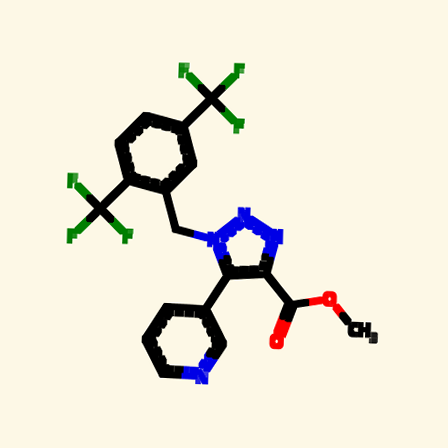 COC(=O)c1nnn(Cc2cc(C(F)(F)F)ccc2C(F)(F)F)c1-c1cccnc1